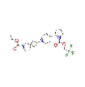 CCOC(=O)N1CCC2(CC(N3CCC([C@@H]4CCCN4C(=O)OCC(F)(F)F)CC3)C2)C1